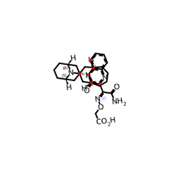 NC(=O)/C(=N\OCC(=O)O)c1nc2ccccc2n([C@H]2C[C@H]3CCC[C@@H](C2)N3C2C[C@H]3CCCC[C@@H](C2)C3)c1=O